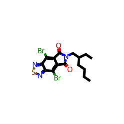 CCCCC(CC)CN1C(=O)c2c(c(Br)c3nsnc3c2Br)C1=O